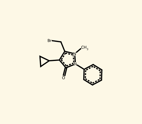 Cn1c(CBr)c(C2CC2)c(=O)n1-c1ccccc1